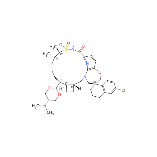 C[C@@H]1[C@@H](C)CCC[C@H]([C@H]2OC[C@@H](N(C)C)CO2)[C@@H]2CC[C@H]2CN2C[C@@]3(CCCc4cc(Cl)ccc43)COc3ccc(nc32)C(=O)NS1(=O)=O